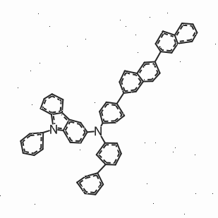 c1ccc(-c2cccc(N(c3ccc(-c4ccc5cc(-c6ccc7ccccc7c6)ccc5c4)cc3)c3ccc4c(c3)c3ccccc3n4-c3ccccc3)c2)cc1